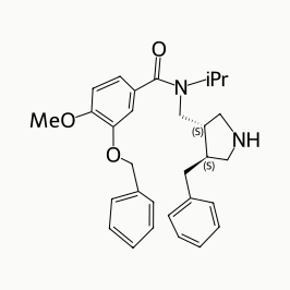 COc1ccc(C(=O)N(C[C@@H]2CNC[C@H]2Cc2ccccc2)C(C)C)cc1OCc1ccccc1